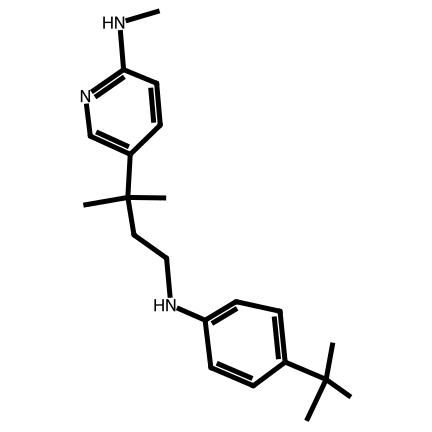 CNc1ccc(C(C)(C)CCNc2ccc(C(C)(C)C)cc2)cn1